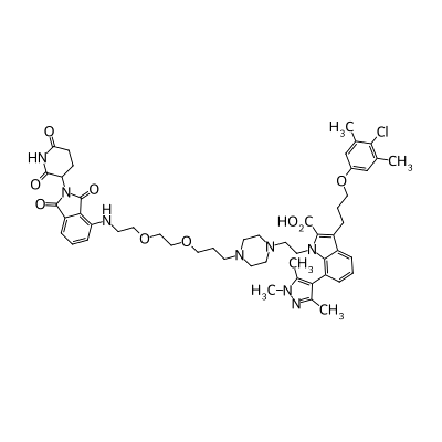 Cc1cc(OCCCc2c(C(=O)O)n(CCN3CCN(CCCOCCOCCNc4cccc5c4C(=O)N(C4CCC(=O)NC4=O)C5=O)CC3)c3c(-c4c(C)nn(C)c4C)cccc23)cc(C)c1Cl